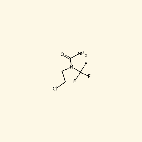 NC(=O)N(CCCl)C(F)(F)F